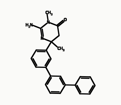 CN1C(=O)CC(C)(c2cccc(-c3cccc(-c4ccccc4)c3)c2)N=C1N